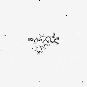 Cc1cc2nc3c(=O)[nH]c(=O)nc-3n(CCCc3ccccc3)c2cc1N1CCC(O)C1